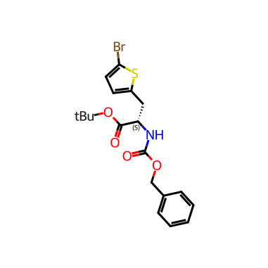 CC(C)(C)OC(=O)[C@H](Cc1ccc(Br)s1)NC(=O)OCc1ccccc1